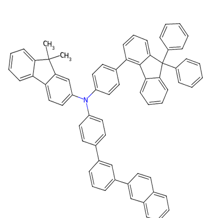 CC1(C)c2ccccc2-c2ccc(N(c3ccc(-c4cccc(-c5ccc6ccccc6c5)c4)cc3)c3ccc(-c4cccc5c4-c4ccccc4C5(c4ccccc4)c4ccccc4)cc3)cc21